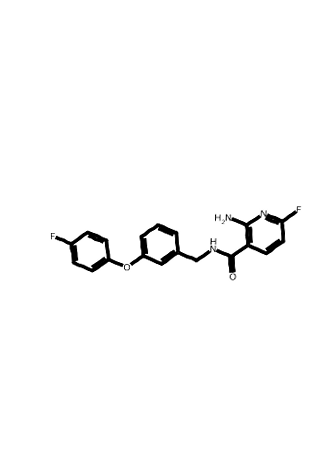 Nc1nc(F)ccc1C(=O)NCc1cccc(Oc2ccc(F)cc2)c1